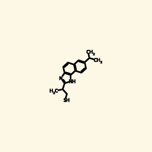 CC(C)c1ccc2c(ccc3nc(C(C)CS)[nH]c32)c1